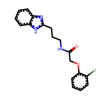 O=C(COc1ccccc1Cl)NCCCc1nc2ccccc2[nH]1